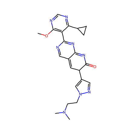 COc1ncnc(C2CC2)c1-c1ncc2c(n1)=NC(=O)C(c1cnn(CCN(C)C)c1)C=2